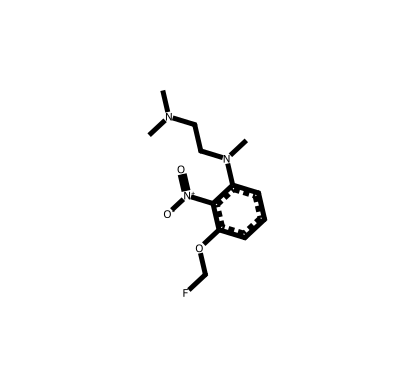 CN(C)CCN(C)c1cccc(OCF)c1[N+](=O)[O-]